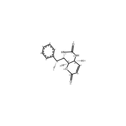 O=C1N[C@@H]([C@H](F)c2ccccc2)[C@@H]2OC(=O)C=C[C@@H]2N1